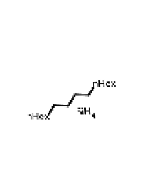 CCCCCCCCCCCCCCCC.[SiH4]